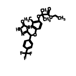 CCOC(=O)C(C)(C)Oc1ccc(OC(c2ccc(C(F)(F)F)cc2)c2n[nH]c(=O)[nH]2)cc1C